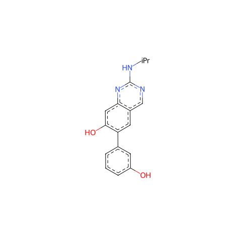 CC(C)Nc1ncc2cc(-c3cccc(O)c3)c(O)cc2n1